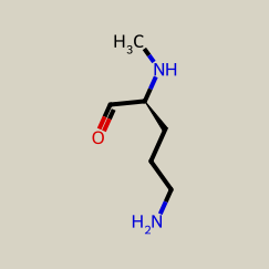 CN[C@H](C=O)CCCN